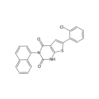 O=c1[nH]c2sc(-c3ccccc3Cl)cc2c(=O)n1-c1cccc2ccccc12